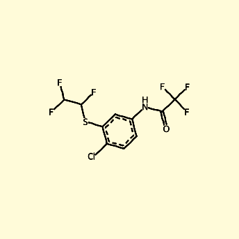 O=C(Nc1ccc(Cl)c(SC(F)C(F)F)c1)C(F)(F)F